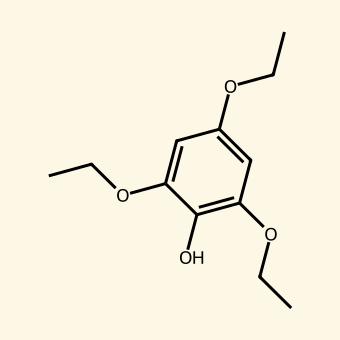 CCOc1cc(OCC)c(O)c(OCC)c1